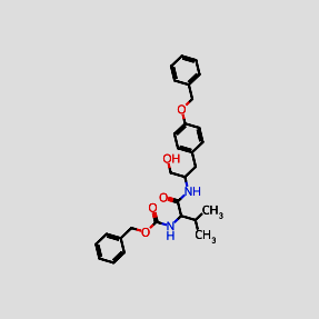 CC(C)C(NC(=O)OCc1ccccc1)C(=O)NC(CO)Cc1ccc(OCc2ccccc2)cc1